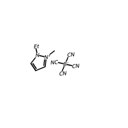 CCn1ccc[n+]1C.N#C[B-](C#N)(C#N)C#N